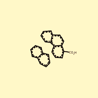 O=C(O)c1cccc2c1ccc1ccccc12.c1ccc2ccccc2c1